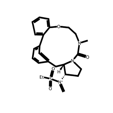 C=[N+]([C@H]1CCN2C(=O)N(C)CCOc3ccccc3-c3cccc(c3)C[C@@H]12)S(=O)(=O)CC